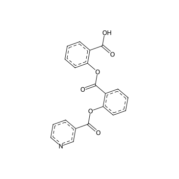 O=C(Oc1ccccc1C(=O)Oc1ccccc1C(=O)O)c1cccnc1